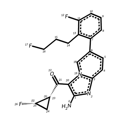 Nc1nc2ccc(-c3cccc(F)c3CCCF)cn2c1C(=O)[C@@H]1C[C@@H]1F